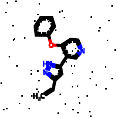 C=Cc1cc(-c2cnccc2Oc2ccccc2)[nH]n1